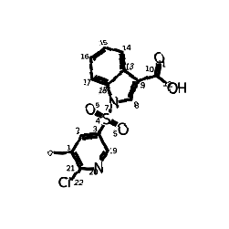 Cc1cc(S(=O)(=O)n2cc(C(=O)O)c3ccccc32)cnc1Cl